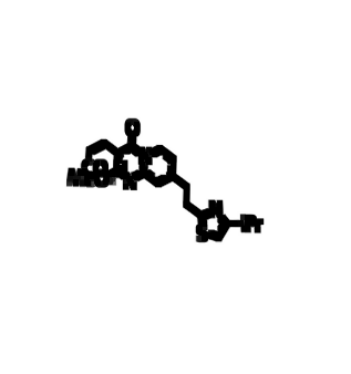 COc1nc2cc(CCc3nc(C(C)C)cs3)ccn2c(=O)c1/C=C\C(=O)O